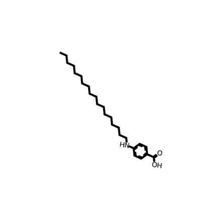 CCCCCCCCCCCCCCCCCCNc1ccc(C(=O)O)cc1